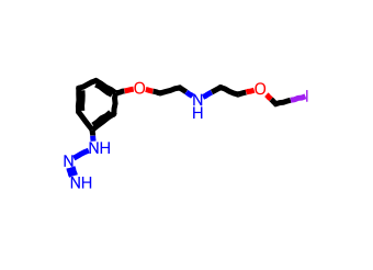 N=NNc1cccc(OCCNCCOCI)c1